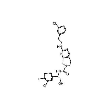 O=C(N[C@H](CO)c1ccc(F)c(Cl)c1)N1CCc2cnc(NCCc3cccc(Cl)c3)nc2C1